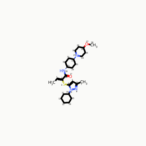 C/C=C(\Sc1cc(C)nn1C1CCCCC1)C(=O)N[C@H]1CC[C@H](N2CCC(OC)CC2)CC1